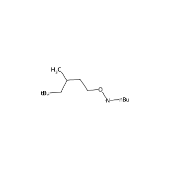 CCCC[N]OCCC(C)CC(C)(C)C